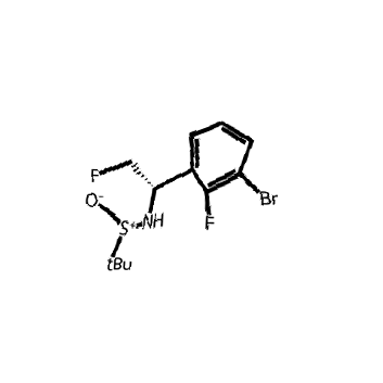 CC(C)(C)[S+]([O-])N[C@H](CF)c1cccc(Br)c1F